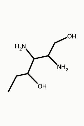 CCC(O)C(N)C(N)CO